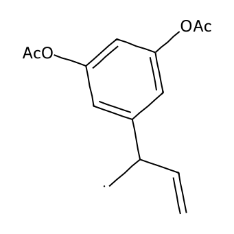 [CH2]C(C=C)c1cc(OC(C)=O)cc(OC(C)=O)c1